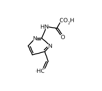 [CH]=Cc1ccnc(NC(=O)C(=O)O)n1